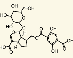 O=C(O)C1=CO[C@@H](O[C@@H]2O[C@H](CO)[C@@H](O)[C@H](O)[C@H]2O)[C@H]2[C@@H](COC(=O)c3cc(O)c(C(=O)O)cc3O)CC[C@@H]12